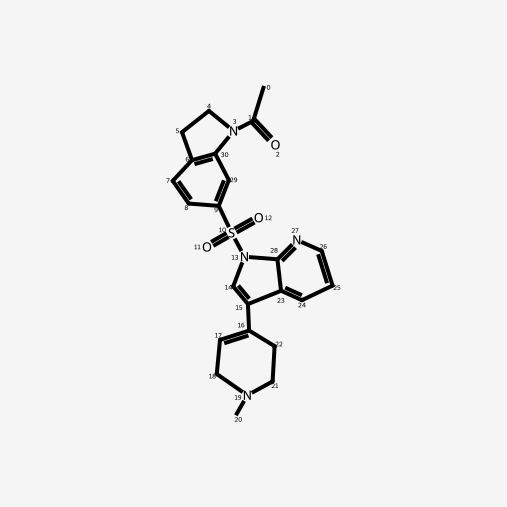 CC(=O)N1CCc2ccc(S(=O)(=O)n3cc(C4=CCN(C)CC4)c4cccnc43)cc21